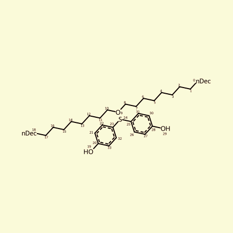 CCCCCCCCCCCCCCCCCCOCCCCCCCCCCCCCCCCCC.Oc1ccc(Sc2ccc(O)cc2)cc1